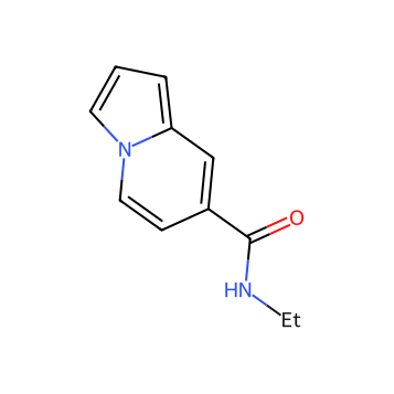 CCNC(=O)c1ccn2cccc2c1